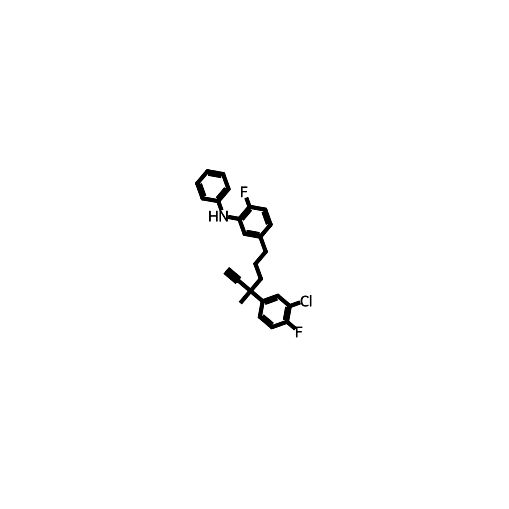 C#CC(C)(CCCc1ccc(F)c(Nc2ccccc2)c1)c1ccc(F)c(Cl)c1